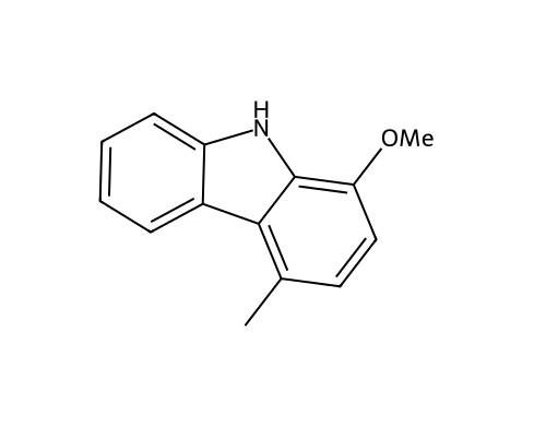 COc1ccc(C)c2c1[nH]c1ccccc12